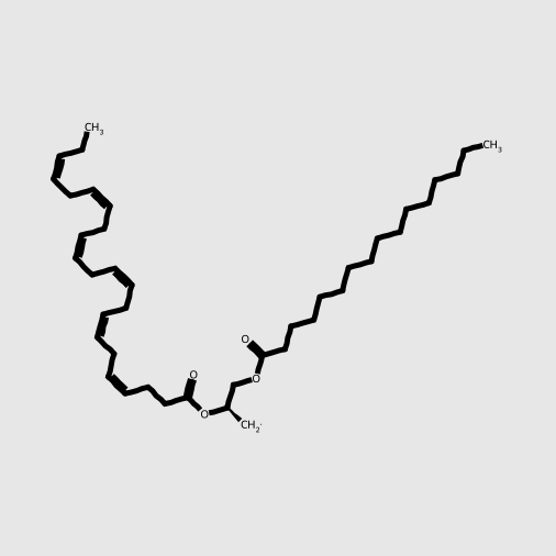 [CH2][C@H](COC(=O)CCCCCCCCCCCCCCC)OC(=O)CC/C=C\C/C=C\C/C=C\C/C=C\C/C=C\C/C=C\CC